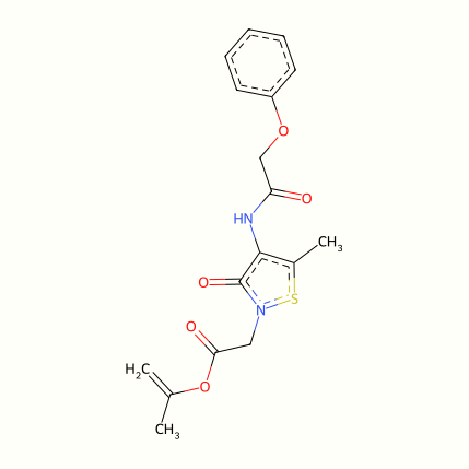 C=C(C)OC(=O)Cn1sc(C)c(NC(=O)COc2ccccc2)c1=O